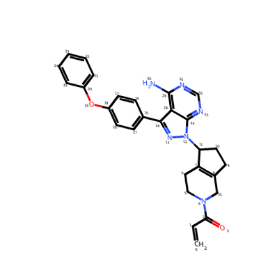 C=CC(=O)N1CCC2=C(CCC2n2nc(-c3ccc(Oc4ccccc4)cc3)c3c(N)ncnc32)C1